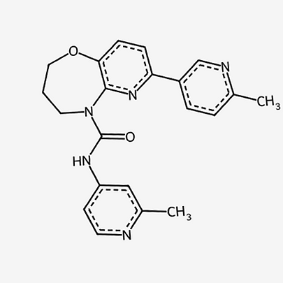 Cc1ccc(-c2ccc3c(n2)N(C(=O)Nc2ccnc(C)c2)CCCO3)cn1